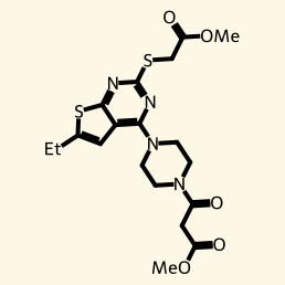 CCc1cc2c(N3CCN(C(=O)CC(=O)OC)CC3)nc(SCC(=O)OC)nc2s1